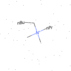 CCCCC[N+](C)(C)CCC